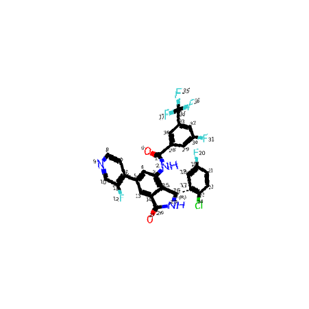 O=C(Nc1cc(-c2ccncc2F)cc2c1[C@H](c1cc(F)ccc1Cl)NC2=O)c1cc(F)cc(C(F)(F)F)c1